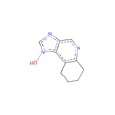 On1cnc2cnc3c(c21)CCCC3